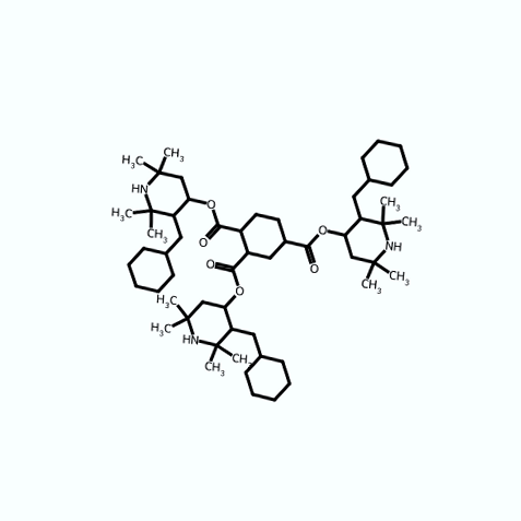 CC1(C)CC(OC(=O)C2CCC(C(=O)OC3CC(C)(C)NC(C)(C)C3CC3CCCCC3)C(C(=O)OC3CC(C)(C)NC(C)(C)C3CC3CCCCC3)C2)C(CC2CCCCC2)C(C)(C)N1